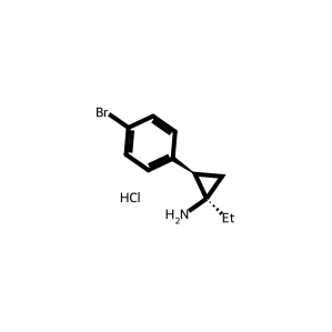 CC[C@@]1(N)C[C@@H]1c1ccc(Br)cc1.Cl